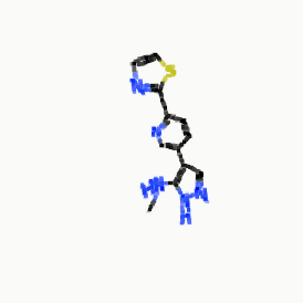 CNc1[nH]ncc1-c1ccc(-c2nccs2)nc1